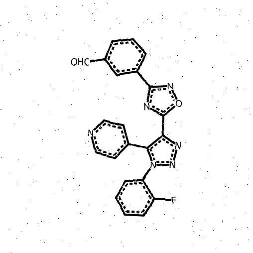 O=Cc1cccc(-c2noc(-c3nnn(-c4ccccc4F)c3-c3ccncc3)n2)c1